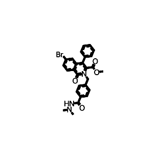 COC(=O)c1c(-c2ccccc2)c2cc(Br)ccc2c(=O)n1Cc1ccc(C(=O)NN(C)C)cc1